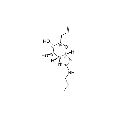 C=CC[C@H]1O[C@@H]2SC(NCCC)=N[C@@H]2[C@@H](O)[C@@H]1O